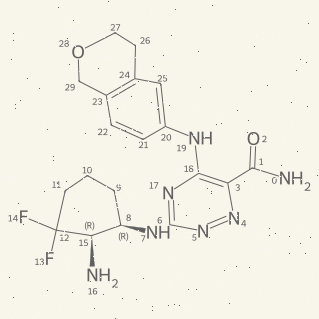 NC(=O)c1nnc(N[C@@H]2CCCC(F)(F)[C@@H]2N)nc1Nc1ccc2c(c1)CCOC2